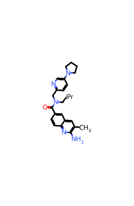 Cc1cc2cc(C(=O)N(Cc3ccc(N4CCCC4)cn3)CC(C)C)ccc2nc1N